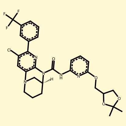 CC1(C)OCC(COc2cccc(NC(=O)N3c4nc(-c5cccc(C(F)(F)F)c5)c(Cl)cc4N4CCC[C@H]3C4)n2)O1